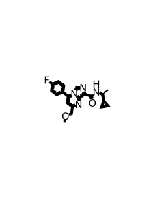 COCc1cc(-c2ccc(F)cc2)n2cnc(C(=O)N[C@@H](C)C3CC3)c2n1